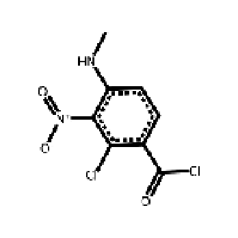 CNc1ccc(C(=O)Cl)c(Cl)c1[N+](=O)[O-]